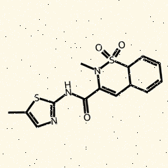 Cc1cnc(NC(=O)C2=CC3C=CC=CC3S(=O)(=O)N2C)s1